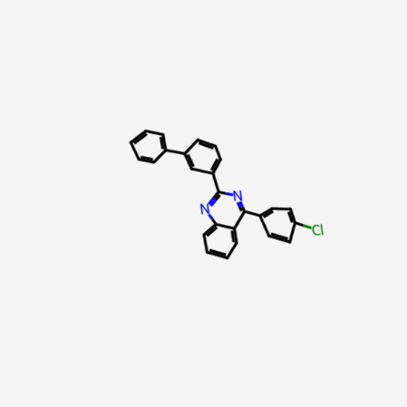 Clc1ccc(-c2nc(-c3cccc(-c4ccccc4)c3)nc3ccccc23)cc1